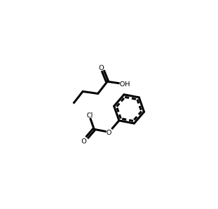 CCCC(=O)O.O=C(Cl)Oc1ccccc1